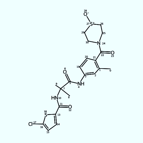 Cc1cc(NC(=O)C(C)(C)NC(=O)c2ccc(Cl)s2)ccc1C(=O)N1CC[S+]([O-])CC1